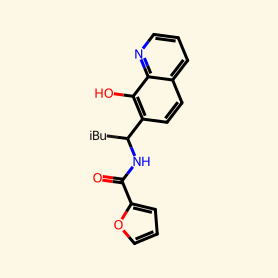 CCC(C)C(NC(=O)c1ccco1)c1ccc2cccnc2c1O